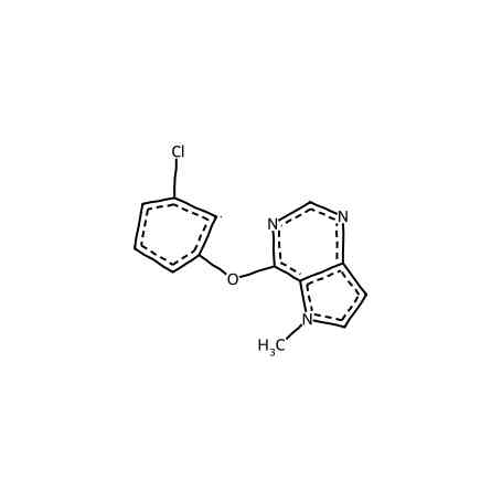 Cn1ccc2ncnc(Oc3[c]c(Cl)ccc3)c21